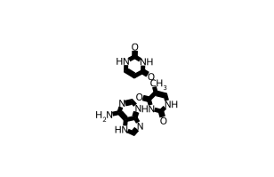 Cc1c[nH]c(=O)[nH]c1=O.Nc1ncnc2nc[nH]c12.O=c1cc[nH]c(=O)[nH]1